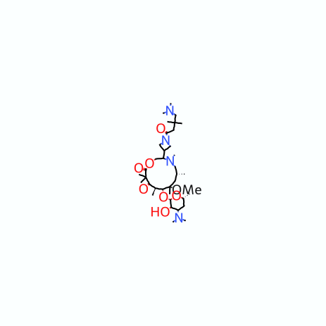 CO[C@]1(C)C[C@@H](C)CN(C)C(C2CN(C(=O)CC(C)(C)CN(C)C)C2)COC(=O)C(C)(C)C(=O)[C@H](C)[C@H]1O[C@@H]1O[C@H](C)C[C@H](N(C)C)[C@H]1O